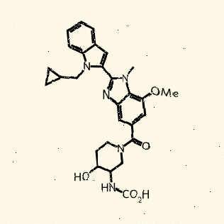 COc1cc(C(=O)N2CCC(O)C(NC(=O)O)C2)cc2nc(-c3cc4ccccc4n3CC3CC3)n(C)c12